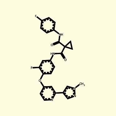 Cn1cc(-c2cc(Oc3ccc(NC(=O)C4(C(=O)Nc5ccc(F)cc5)CC4)cc3F)ccn2)cn1